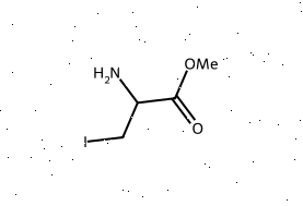 COC(=O)C(N)CI